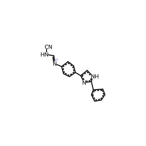 N#CN/C=N/c1ccc(-c2c[nH]c(-c3ccccc3)n2)cc1